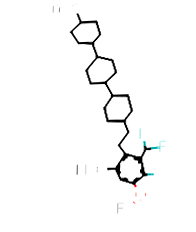 CCCC1CCC(C2CCC(C3CCC(CCc4c(C)cc(OCC)c(F)c4C(F)F)CC3)CC2)CC1